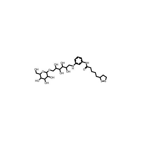 O=C(CCCCC1CCSS1)Nc1cccc(NCC(O)C(O)C(O)C(O)COC2OC(CO)C(O)C(O)C2O)c1